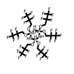 FC(F)(F)C(F)(F)CO[PH]1(OCC(F)(F)C(F)(F)F)N[PH](OCC(F)(F)C(F)(F)F)(OCC(F)(F)C(F)(F)F)N[PH](OCC(F)(F)C(F)(F)F)(OCC(F)(F)C(F)(F)F)N1